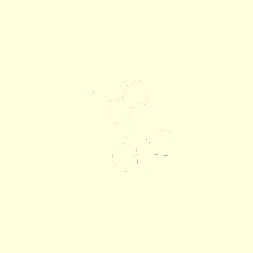 COc1ccc(S(=O)(=O)[N+]2(c3ccccc3F)CC[CH]CC2)c2cccnc12